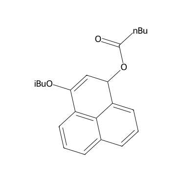 CCCCC(=O)OC1C=C(OCC(C)C)c2cccc3cccc1c23